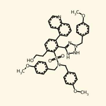 COc1ccc(CN2N=C(c3c(-c4cccc5ncccc45)ccc(CCO)c3S(=O)(=O)N(Cc3ccc(OC)cc3)Cc3ccc(OC)cc3)NN2)cc1